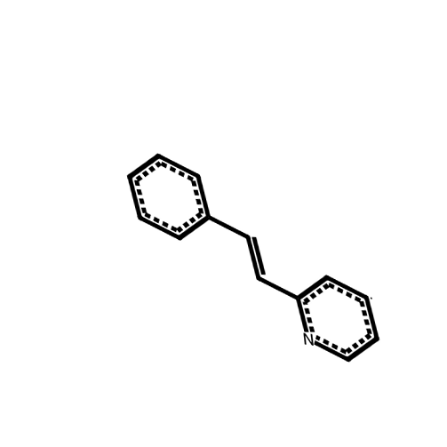 [c]1ccnc(C=Cc2ccccc2)c1